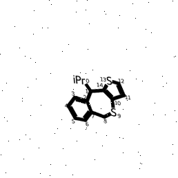 CC(C)C1c2ccccc2CSc2ccsc21